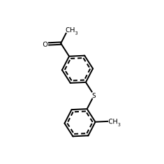 CC(=O)c1ccc(Sc2ccccc2C)cc1